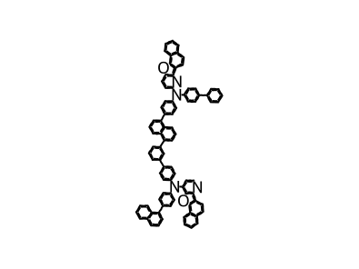 c1ccc(-c2ccc(N(c3ccc(-c4cccc5c(-c6cccc(-c7ccc(N(c8ccc(-c9cccc%10ccccc9%10)cc8)c8ccnc9c8oc8c%10ccccc%10ccc98)cc7)c6)cccc45)cc3)c3ccc4oc5c6ccccc6ccc5c4n3)cc2)cc1